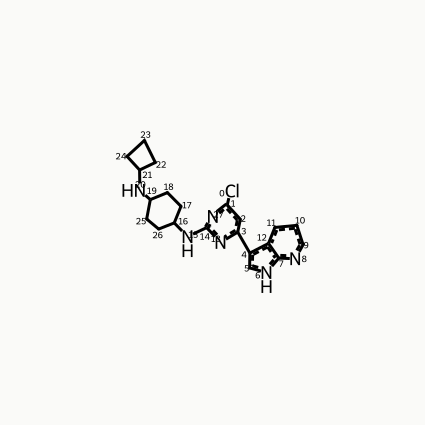 Clc1cc(-c2c[nH]c3ncccc23)nc(NC2CCC(NC3CCC3)CC2)n1